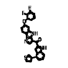 O=C(c1cc2c(-c3ccsc3)cccc2[nH]1)c1cnn2c1[nH]c1cc(Oc3cccc(F)c3F)ccc12